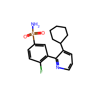 NS(=O)(=O)c1ccc(F)c(-c2ncccc2C2CCCCC2)c1